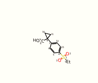 CCS(=O)(=O)c1ccc(C2(C(=O)O)CC2)cc1